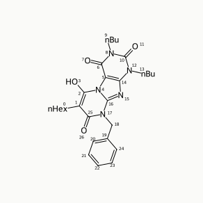 CCCCCCc1c(O)n2c3c(=O)n(CCCC)c(=O)n(CCCC)c3nc2n(Cc2ccccc2)c1=O